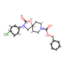 O=C(OCc1ccccc1)N1CCC2(CC1)CN(c1ccc(Cl)cc1)C(=O)O2